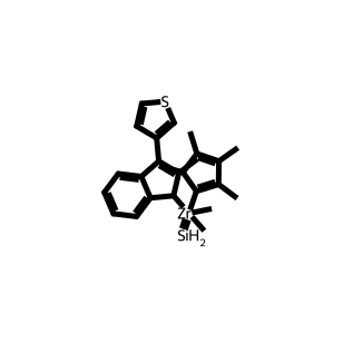 CC1=C(C)C(C)[C]([Zr]([CH3])([CH3])(=[SiH2])[CH]2C(C)=C(c3ccsc3)c3ccccc32)=C1C